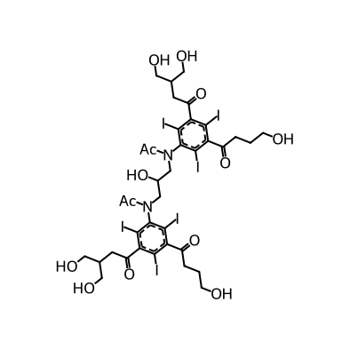 CC(=O)N(CC(O)CN(C(C)=O)c1c(I)c(C(=O)CCCO)c(I)c(C(=O)CC(CO)CO)c1I)c1c(I)c(C(=O)CCCO)c(I)c(C(=O)CC(CO)CO)c1I